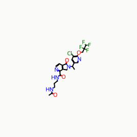 CC(=O)NCCCNC(=O)c1nccc2c1CN(C(C)c1cnc(OCC(F)(F)C(F)F)c(Cl)c1)C2=O